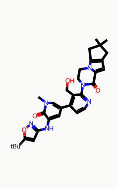 Cn1cc(-c2ccnc(N3CCn4c(cc5c4CC(C)(C)C5)C3=O)c2CO)cc(Nc2cc(C(C)(C)C)on2)c1=O